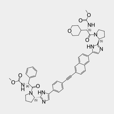 COC(=O)N[C@H](C(=O)N1CCC[C@H]1c1ncc(-c2ccc3cc(C#Cc4ccc(-c5cnc([C@@H]6CCCN6C(=O)[C@H](NC(=O)OC)c6ccccc6)[nH]5)cc4)ccc3c2)[nH]1)C1CCOCC1